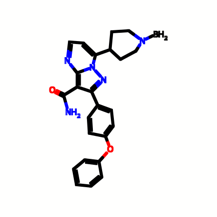 BN1CCC(c2ccnc3c(C(N)=O)c(-c4ccc(Oc5ccccc5)cc4)nn23)CC1